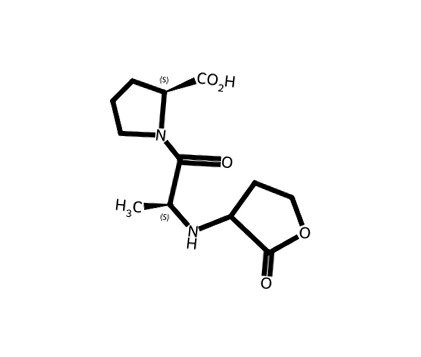 C[C@H](NC1CCOC1=O)C(=O)N1CCC[C@H]1C(=O)O